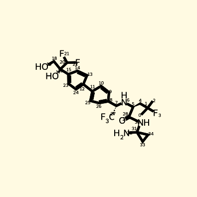 CC(C)(F)C[C@H](N[C@@H](c1ccc(-c2ccc([C@@](O)(CO)C(F)F)cc2)cc1)C(F)(F)F)C(=O)NC1(N)CC1